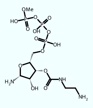 COP(=O)(O)OP(=O)(O)OP(=O)(O)OC[C@H]1O[C@@H](N)[C@@H](O)[C@H]1OC(=O)NCCN